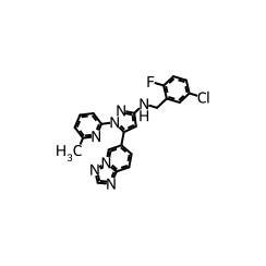 Cc1cccc(-n2nc(NCc3cc(Cl)ccc3F)cc2-c2ccc3ncnn3c2)n1